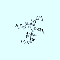 COC[PH](CCC(F)(F)C(C)(F)F)(COC)COC